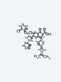 CN(C)C1CN(c2ccc(-n3cc(C(=O)O)c(=O)c4cc(Cl)c(N5C[C@H](c6cccnn6)C[C@@H]5COc5ncccc5Cl)cc43)cn2)C1